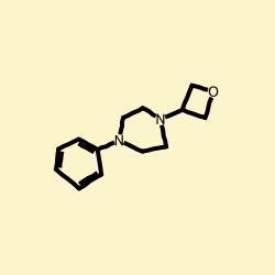 c1ccc(N2CCN(C3COC3)CC2)cc1